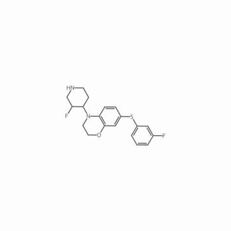 Fc1cccc(Sc2ccc3c(c2)OCCN3C2CCNCC2F)c1